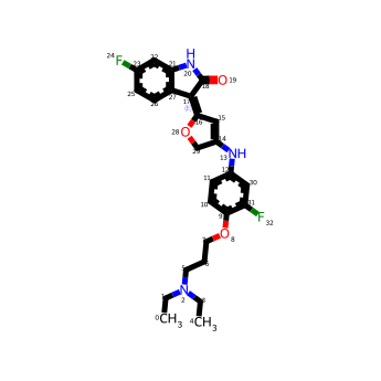 CCN(CC)CCCOc1ccc(NC2=C/C(=C3\C(=O)Nc4cc(F)ccc43)OC2)cc1F